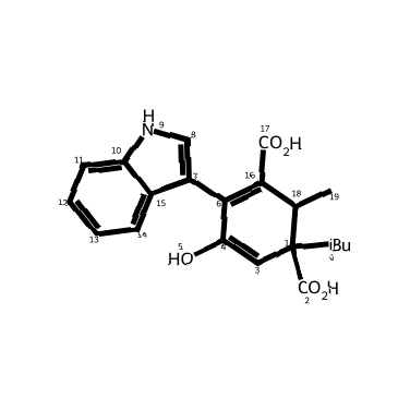 CCC(C)C1(C(=O)O)C=C(O)C(c2c[nH]c3ccccc23)=C(C(=O)O)C1C